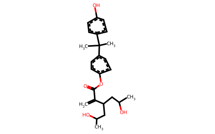 C=C(C(=O)Oc1ccc(C(C)(C)c2ccc(O)cc2)cc1)C(CC(C)O)CC(C)O